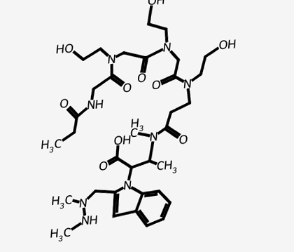 CCC(=O)NCC(=O)N(CCO)CC(=O)N(CCO)CC(=O)N(CCO)CCC(=O)N(C)C(C)C(C(=O)O)n1c(CN(C)NC)cc2ccccc21